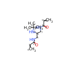 C=CC(=O)NCC(CNC(=O)C=C)NC(C)(C)C